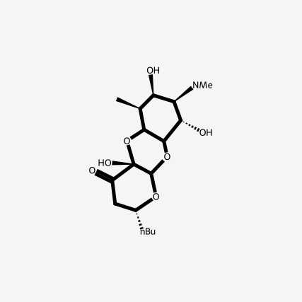 CCCC[C@@H]1CC(=O)[C@]2(O)OC3C(OC2O1)[C@@H](O)[C@H](NC)[C@H](O)[C@@H]3C